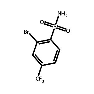 NS(=O)(=O)c1ccc(C(F)(F)F)cc1Br